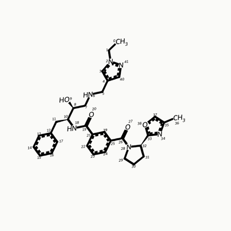 CCn1cc(CNC[C@H](O)[C@H](Cc2ccccc2)NC(=O)c2cccc(C(=O)N3CCC[C@@H]3c3nc(C)co3)c2)cn1